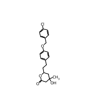 CC1(O)CC(=O)OC(CCc2ccc(OCc3ccc(Cl)cc3)cc2)C1